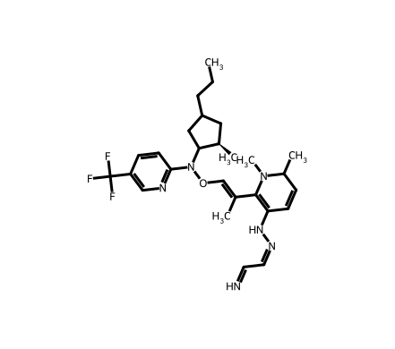 CCCC1CC(N(O/C=C(\C)C2=C(N/N=C\C=N)C=CC(C)N2C)c2ccc(C(F)(F)F)cn2)[C@H](C)C1